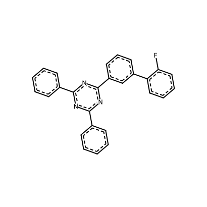 Fc1ccccc1-c1cccc(-c2nc(-c3ccccc3)nc(-c3ccccc3)n2)c1